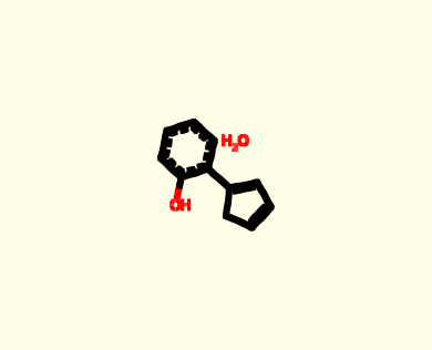 O.Oc1ccccc1C1=CC=CC1